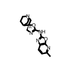 Cc1ccc2nc(NC3=NC[C@@]4(CN5CCC4CC5)O3)oc2n1